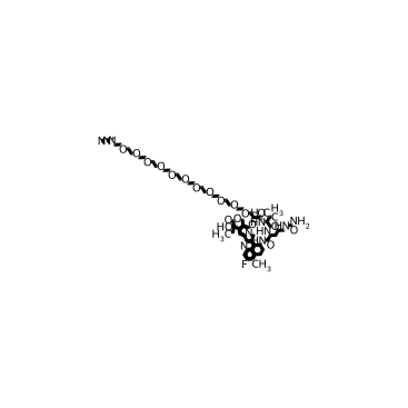 CC[C@@]1(O)C(=O)OCc2c1cc1n(c2=O)Cc2c-1nc1cc(F)c(C)c3c1c2[C@@H](NC(=O)C(CCCNC(N)=O)NC(=O)C(NC(=O)CCOCCOCCOCCOCCOCCOCCOCCOCCOCCOCCOCCN=[N+]=[N-])C(C)C)CC3